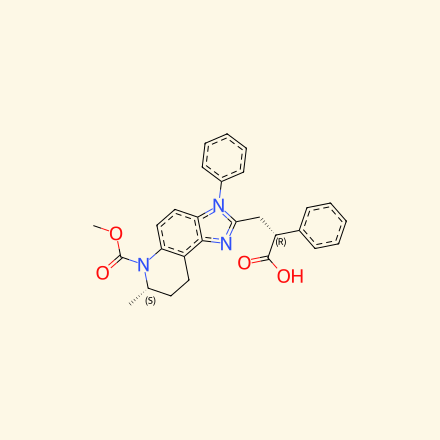 COC(=O)N1c2ccc3c(nc(C[C@@H](C(=O)O)c4ccccc4)n3-c3ccccc3)c2CC[C@@H]1C